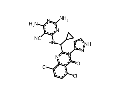 N#Cc1c(N)nc(N)nc1N[C@H](c1nc2c(Cl)ccc(Cl)c2c(=O)n1-c1cc[nH]n1)C1CC1